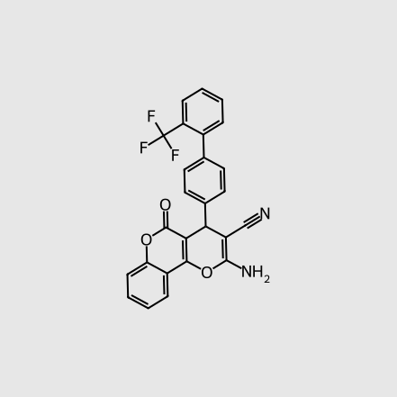 N#CC1=C(N)Oc2c(c(=O)oc3ccccc23)C1c1ccc(-c2ccccc2C(F)(F)F)cc1